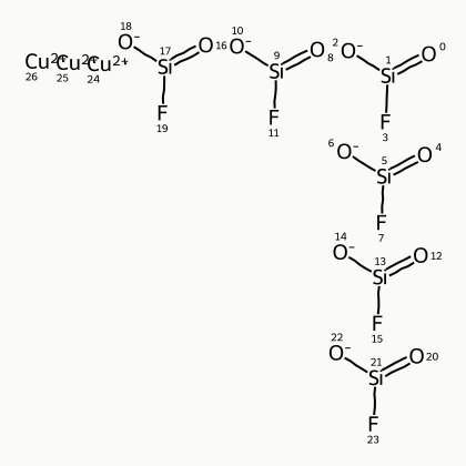 O=[Si]([O-])F.O=[Si]([O-])F.O=[Si]([O-])F.O=[Si]([O-])F.O=[Si]([O-])F.O=[Si]([O-])F.[Cu+2].[Cu+2].[Cu+2]